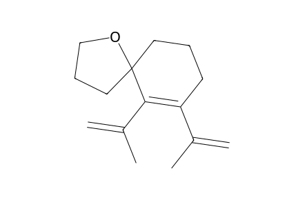 C=C(C)C1=C(C(=C)C)C2(CCCO2)CCC1